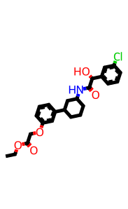 CCOC(=O)COc1cccc(C2CCCC(NC(=O)C(O)c3cccc(Cl)c3)C2)c1